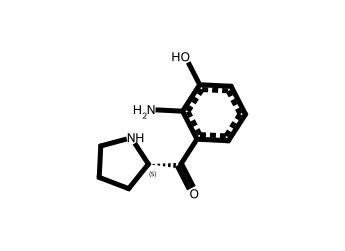 Nc1c(O)cccc1C(=O)[C@@H]1CCCN1